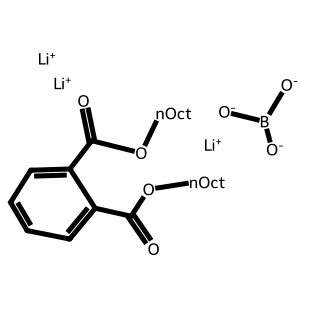 CCCCCCCCOC(=O)c1ccccc1C(=O)OCCCCCCCC.[Li+].[Li+].[Li+].[O-]B([O-])[O-]